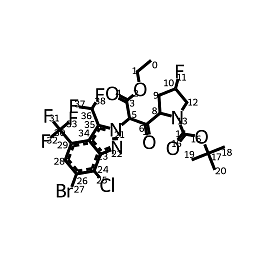 CCOC(=O)C(C(=O)C1CC(F)CN1C(=O)OC(C)(C)C)n1nc2c(Cl)c(Br)cc(C(F)(F)F)c2c1C(F)F